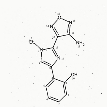 CCn1cc(-c2ccccc2O)nc1-c1nonc1N